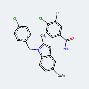 CCc1cc(C(N)=O)ccc1Cl.COc1ccc2c(c1)cc(C)n2Cc1ccc(Cl)cc1